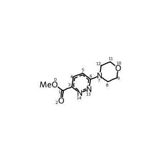 COC(=O)c1ccc(N2CCOCC2)nn1